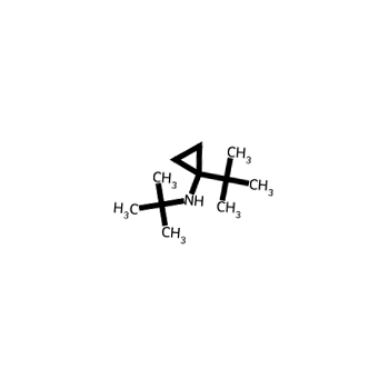 CC(C)(C)NC1(C(C)(C)C)CC1